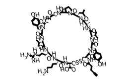 C#CCCC(=O)N[C@H]1CSSC[C@@H](C(=O)O)NC(=O)[C@H](CCCCN)NC(=O)[C@H](CCCNC(=N)N)NC(=O)[C@H](C(C)C)NC(=O)[C@H](Cc2ccc(O)cc2)NC(=O)CNC(=O)CNC(=O)[C@@H]2CCCN2C(=O)[C@H](CC(C)C)NC(=O)[C@H](C)NC(=O)[C@H](C(C)C)NC(=O)[C@H](Cc2ccc(O)cc2)NC1=O